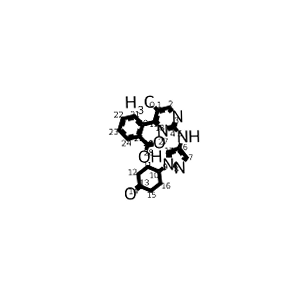 Cc1cnc(Nc2cnn(C3CCC(=O)CC3)c2)nc1-c1ccccc1C(=O)O